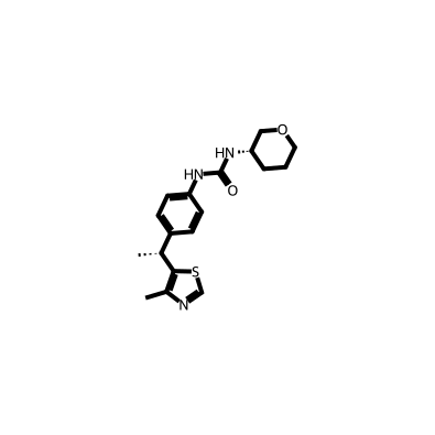 Cc1ncsc1[C@H](C)c1ccc(NC(=O)N[C@H]2CCCOC2)cc1